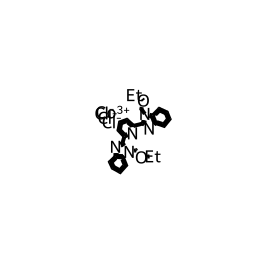 CCOCn1c(-c2cccc(-c3nc4ccccc4n3COCC)n2)nc2ccccc21.[Cl-].[Cl-].[Cl-].[Co+3]